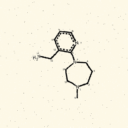 CN1CCCN(c2ncccc2CN)CC1